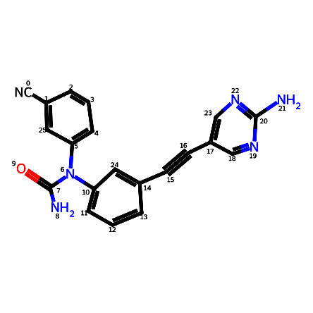 N#Cc1cccc(N(C(N)=O)c2cccc(C#Cc3cnc(N)nc3)c2)c1